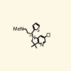 CNCC[C@@H](c1cccs1)N1CC(C)(C)c2ncc(Cl)cc21